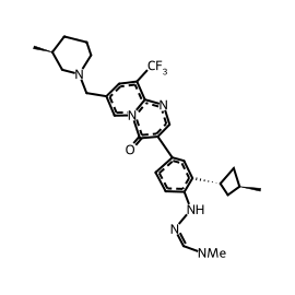 CN/C=N\Nc1ccc(-c2cnc3c(C(F)(F)F)cc(CN4CCC[C@H](C)C4)cn3c2=O)cc1[C@H]1C[C@H](C)C1